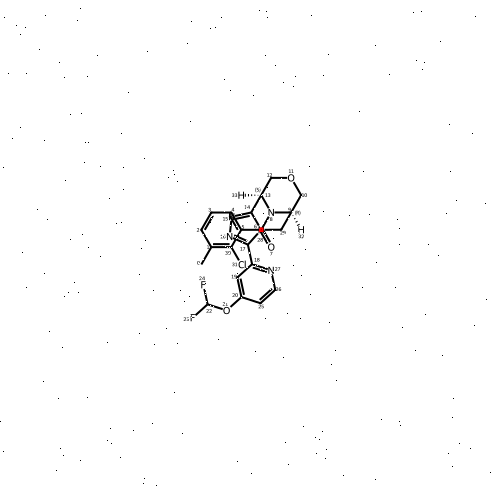 Cc1cccc(C(=O)N2[C@H]3COC[C@@H]2c2nnc(-c4cc(OC(F)F)ccn4)n2C3)c1Cl